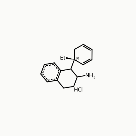 CC[C@]1(C2c3ccccc3CCC2N)C=CC=CC1.Cl